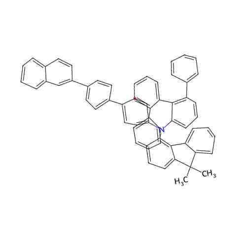 CC1(C)c2ccccc2-c2c(N(c3ccc(-c4ccc(-c5ccc6ccccc6c5)cc4)cc3)c3cccc(-c4ccccc4)c3-c3ccccc3-c3ccccc3)cccc21